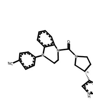 N#Cc1ccc(N2CCN(C(=O)N3CC[C@H](c4cn[nH]c4)C3)c3ccccc32)cc1